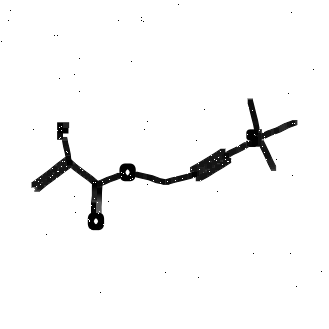 C=C(F)C(=O)OCC#C[Si](C)(C)C